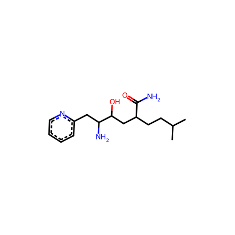 CC(C)CCC(CC(O)C(N)Cc1ccccn1)C(N)=O